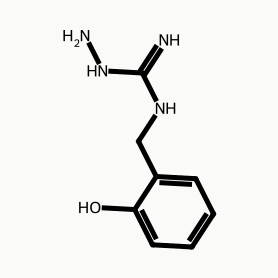 N=C(NN)NCc1ccccc1O